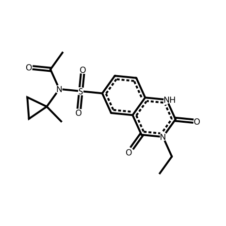 CCn1c(=O)[nH]c2ccc(S(=O)(=O)N(C(C)=O)C3(C)CC3)cc2c1=O